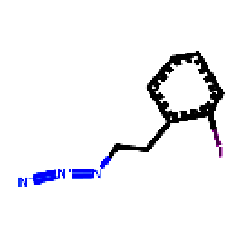 [N-]=[N+]=NCCc1ccccc1I